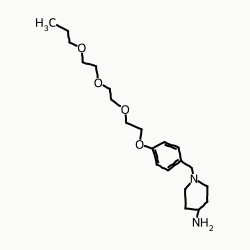 CCCOCCOCCOCCOc1ccc(CN2CCC(N)CC2)cc1